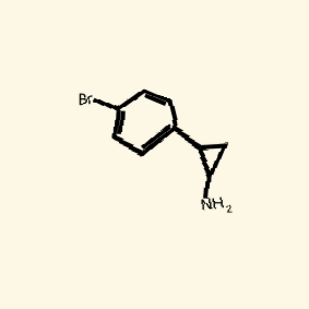 NC1CC1c1ccc(Br)cc1